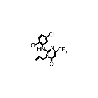 C=CCn1c(Nc2cc(Cl)ccc2Cl)nc(C(F)(F)F)cc1=O